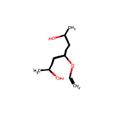 C=COC(CC(C)O)CC(C)O